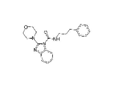 O=C(NCCCc1ccccc1)n1c(N2CCOCC2)nc2ccccc21